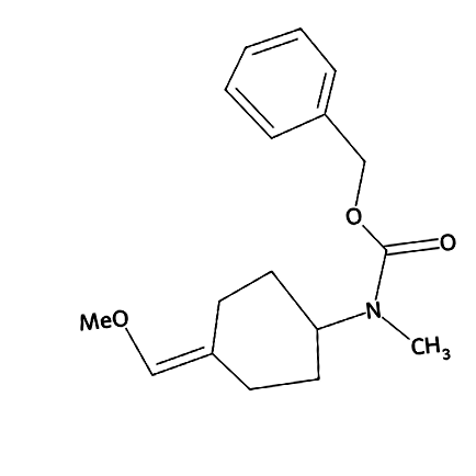 COC=C1CCC(N(C)C(=O)OCc2ccccc2)CC1